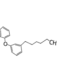 CCCCCCc1cccc(Oc2ccccc2)c1